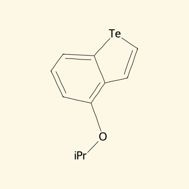 CC(C)Oc1cccc2[te]ccc12